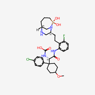 COC1CCC(c2ccc(Cl)cc2)([C@H](NC(=O)O)C(=O)Nc2cccc(F)c2CC[C@H]2CN[C@@H]3CCCS(O)(O)N2C3)CC1